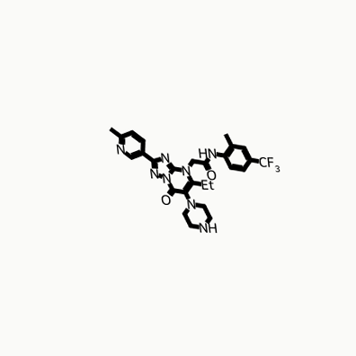 CCc1c(N2CCNCC2)c(=O)n2nc(-c3ccc(C)nc3)nc2n1CC(=O)Nc1ccc(C(F)(F)F)cc1C